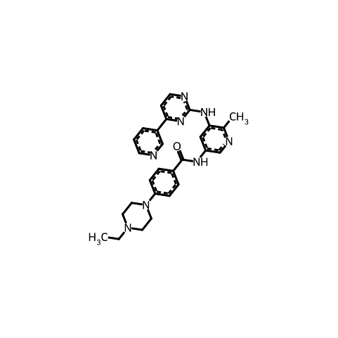 CCN1CCN(c2ccc(C(=O)Nc3cnc(C)c(Nc4nccc(-c5cccnc5)n4)c3)cc2)CC1